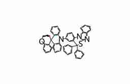 c1ccc(C2(c3ccccc3)Sc3nc4ccccc4n3-c3ccc(N4c5ccccc5C5(c6ccccc6Oc6ccccc65)c5ccccc54)cc32)cc1